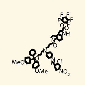 COc1ccc(C(OCCCN(CCCC(=O)N2CCc3c2ccc2[nH]c(C(=O)Oc4c(F)c(F)c(F)c(F)c4F)cc32)c2ccc(N=Nc3ccc([N+](=O)[O-])cc3Cl)cc2)(c2ccccc2)c2ccc(OC)cc2)cc1